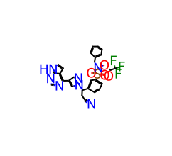 N#CCC(c1cccc(S(=O)(=O)N(Cc2ccccc2)OC(=O)C(F)(F)F)c1)n1cc(-c2ncnc3[nH]ccc23)cn1